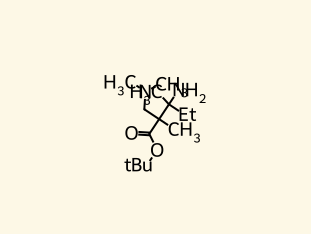 CCC(C)(N)C(C)(CN(C)C)C(=O)OC(C)(C)C